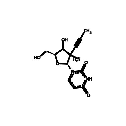 CC#CC1(N)C(O)[C@@H](CO)O[C@H]1n1ccc(=O)[nH]c1=O